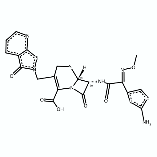 CON=C(C(=O)N[C@@H]1C(=O)N2C(C(=O)O)=C(Cn3sc4ncccc4c3=O)CS[C@H]12)c1csc(N)n1